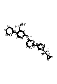 CC(C)Nc1cc(Nc2ccnc(-c3cnn(S(=O)(=O)C4CC4)c3)n2)ncc1C1=CCCCO1